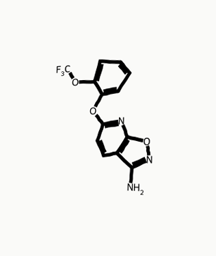 Nc1noc2nc(Oc3ccccc3OC(F)(F)F)ccc12